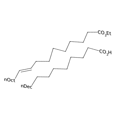 CCCCCCCCC=CCCCCCCCC(=O)OCC.CCCCCCCCCCCCCCCCCC(=O)O